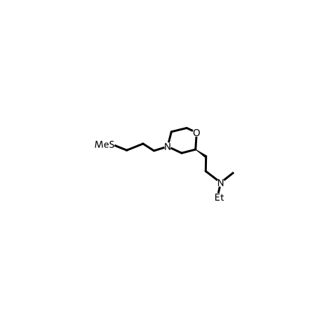 CCN(C)CC[C@H]1CN(CCCSC)CCO1